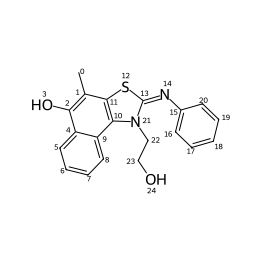 Cc1c(O)c2ccccc2c2c1s/c(=N/c1ccccc1)n2CCO